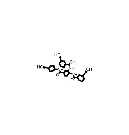 C#Cc1ccc(NC(=O)c2ccc(NC(=O)c3cccc(C#C)c3)c(NC(C)c3cccc(C#C)c3)c2)cc1